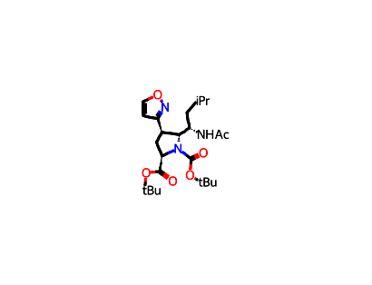 CC(=O)N[C@@H](CC(C)C)[C@H]1[C@H](c2ccon2)C[C@H](C(=O)OC(C)(C)C)N1C(=O)OC(C)(C)C